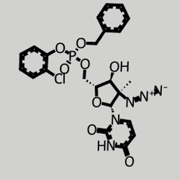 C[C@@]1(N=[N+]=[N-])[C@H](O)[C@@H](COP(=O)(OCc2ccccc2)Oc2ccccc2Cl)O[C@H]1n1ccc(=O)[nH]c1=O